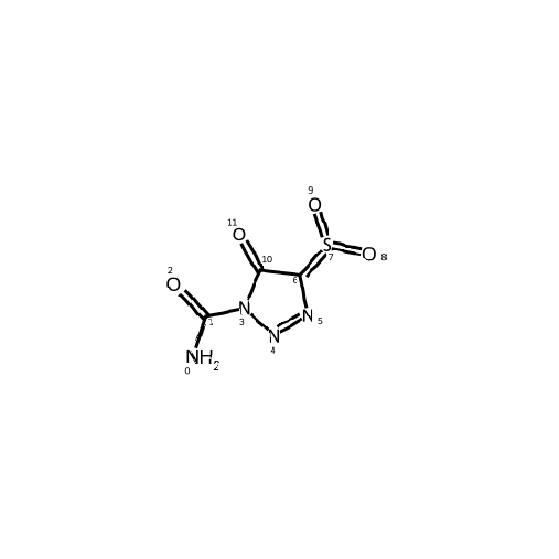 NC(=O)N1N=NC(=S(=O)=O)C1=O